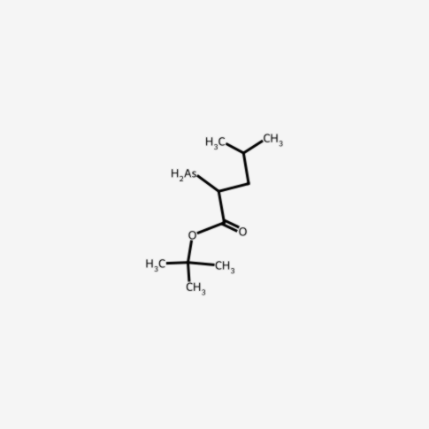 CC(C)CC([AsH2])C(=O)OC(C)(C)C